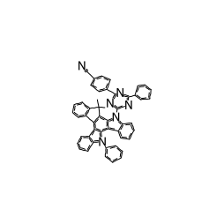 CC1(C)c2ccccc2-c2c1c1c(c3ccccc3n1-c1nc(-c3ccccc3)nc(-c3ccc(C#N)cc3)n1)c1c2c2ccccc2n1-c1ccccc1